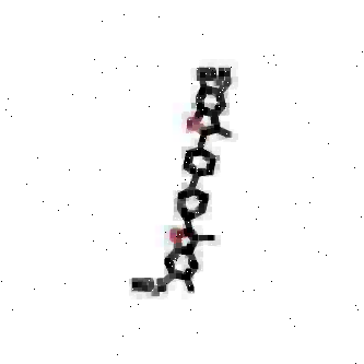 Cc1cc2c(C)c(-c3ccc(-c4ccc(-c5oc6cc(S(=O)(=O)O)c(C)cc6c5C)cc4)cc3)oc2cc1S(=O)(=O)O